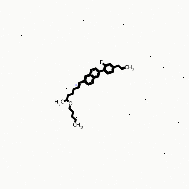 C=CCc1ccc(-c2ccc3cc(/C=C/CCCC(C)OCCCCC)ccc3c2)c(F)c1